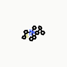 c1ccc(-c2nc(-c3c(-c4ccc(-c5ccccc5-c5ccccc5)cc4)ccc4ccccc34)nc(-c3cccc4c3sc3ccccc34)n2)cc1